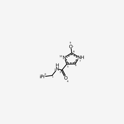 CC(C)CNC(=O)c1c[nH]c([O])n1